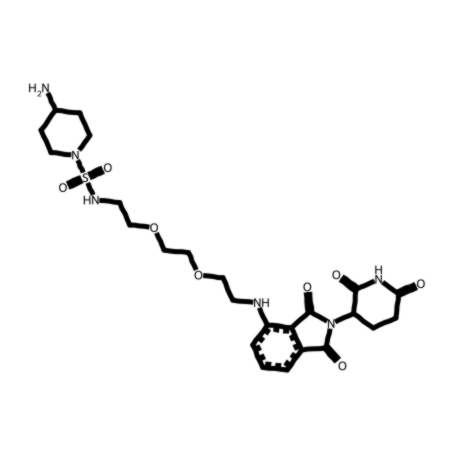 NC1CCN(S(=O)(=O)NCCOCCOCCNc2cccc3c2C(=O)N(C2CCC(=O)NC2=O)C3=O)CC1